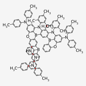 Cc1ccc(N(c2ccc(C)cc2)c2cc3c4c(c2)N(c2ccccc2)c2ccccc2B4c2cc4c(cc2N3)Oc2cc(N(c3ccc(C)cc3)c3ccc(C)cc3)cc3c2B4c2cc4c(cc2N3c2c(C)cc(C)cc2C)N(c2c(C)cc(C)cc2C)c2cc(N(c3ccc(C)cc3)c3ccc(C)cc3)cc3c2B4c2ccccc2O3)cc1